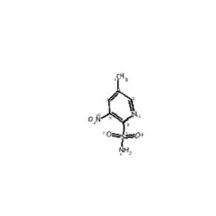 Cc1cnc(S(N)(=O)=O)c([N+](=O)[O-])c1